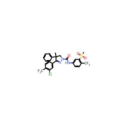 CC1(c2ccccc2)CN(C(=O)Nc2ccc(C(F)(F)F)c(S(C)(=O)=O)c2)N=C1c1ccc(C(F)(F)F)c(Cl)c1